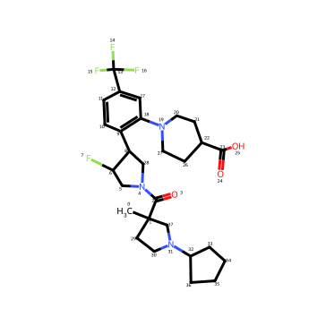 CC1(C(=O)N2CC(F)C(c3ccc(C(F)(F)F)cc3N3CCC(C(=O)O)CC3)C2)CCN(C2CCCC2)C1